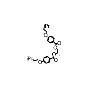 CC(C)CCOc1ccc(C(=O)OC[C@H](C)OC(=O)c2ccc(OCCC(C)C)cc2)cc1